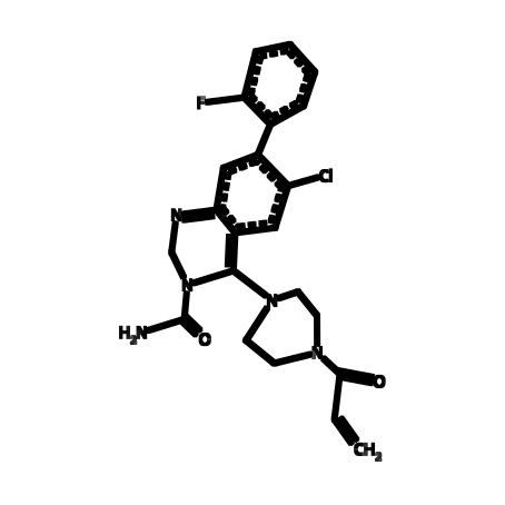 C=CC(=O)N1CCN(C2=c3cc(Cl)c(-c4ccccc4F)cc3=NCN2C(N)=O)CC1